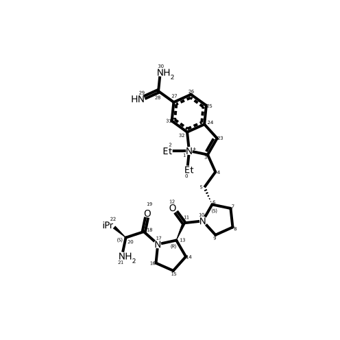 CC[N+]1(CC)C(CC[C@@H]2CCCN2C(=O)[C@H]2CCCN2C(=O)[C@@H](N)C(C)C)=Cc2ccc(C(=N)N)cc21